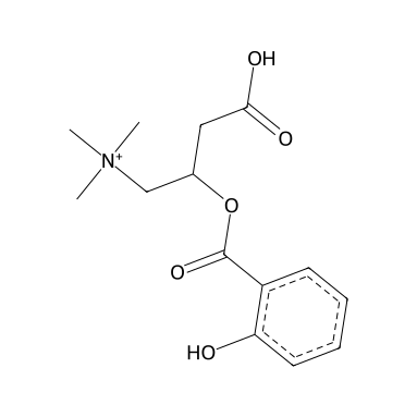 C[N+](C)(C)CC(CC(=O)O)OC(=O)c1ccccc1O